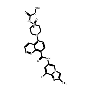 Cc1cn2cc(NC(=O)c3ccc(N4CC[SH](=O)(NC(=O)OC(C)(C)C)CC4)c4ccnnc34)cc(F)c2n1